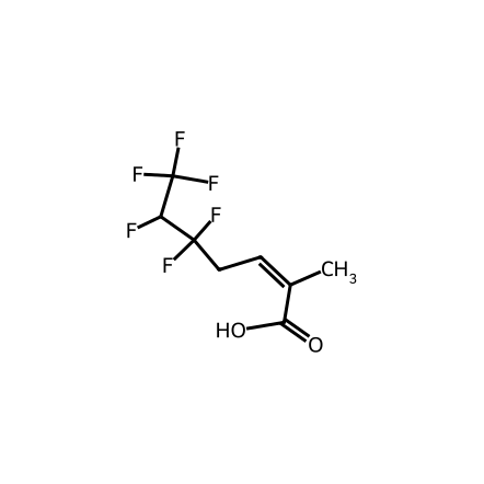 CC(=CCC(F)(F)C(F)C(F)(F)F)C(=O)O